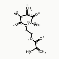 C=C(C)C(=O)OCCOC(=O)C(C(=C)C(=O)OCCCC)C(C)=O